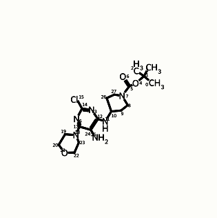 CC(C)(C)OC(=O)N1CCC(Nc2nc(Cl)nc(N3CCOCC3)c2N)CC1